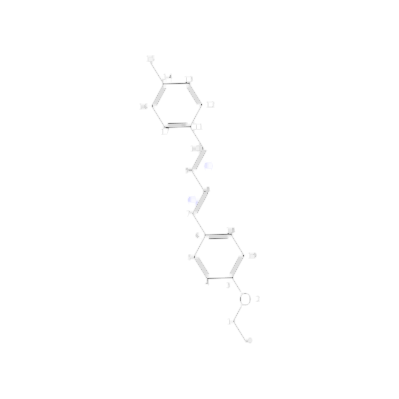 CCOc1ccc(/C=C/C=C/c2ccc(C)cc2)cc1